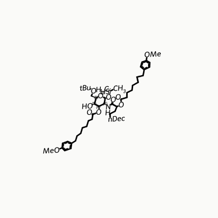 CCCCCCCCCCCCC(OC(=O)CCCCCCCc1ccc(OC)cc1)C(=O)N[C@H]1C(O[SiH](C)C)O[C@H](COC(C)(C)C)[C@@H](O)[C@@H]1OC(=O)CCCCCCCc1ccc(OC)cc1